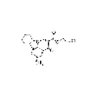 Cc1cc2c3c(c1)c(=O)c(C(=O)OCCCl)cn3C1CCCCC21